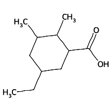 CCC1CC(C)C(C)C(C(=O)O)C1